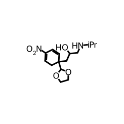 CC(C)NCC(O)CC1(C2OCCO2)C=CC([N+](=O)[O-])=CC1